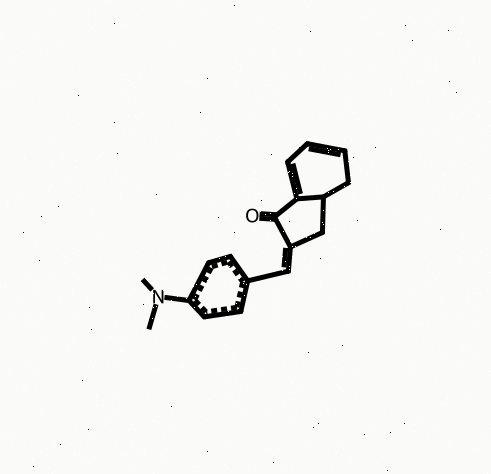 CN(C)c1ccc(C=C2CC3CC=CC=C3C2=O)cc1